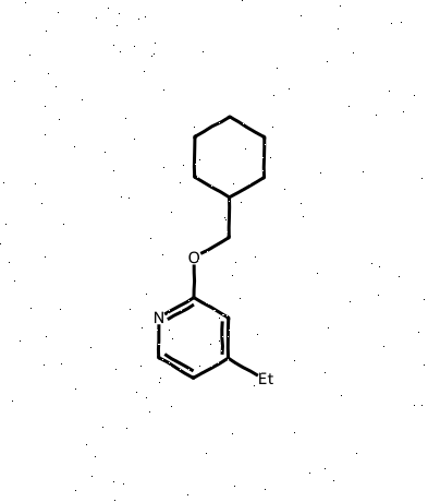 CCc1ccnc(OCC2CCCCC2)c1